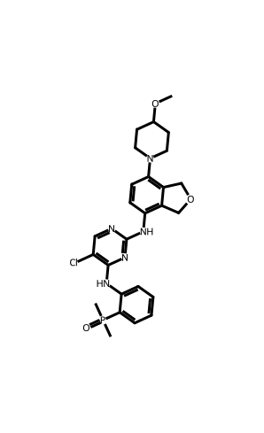 COC1CCN(c2ccc(Nc3ncc(Cl)c(Nc4ccccc4P(C)(C)=O)n3)c3c2COC3)CC1